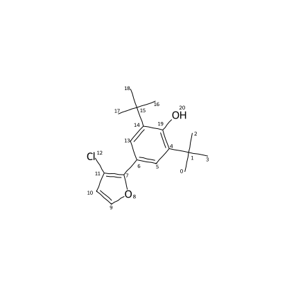 CC(C)(C)c1cc(-c2occc2Cl)cc(C(C)(C)C)c1O